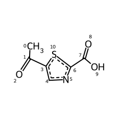 CC(=O)c1cnc(C(=O)O)s1